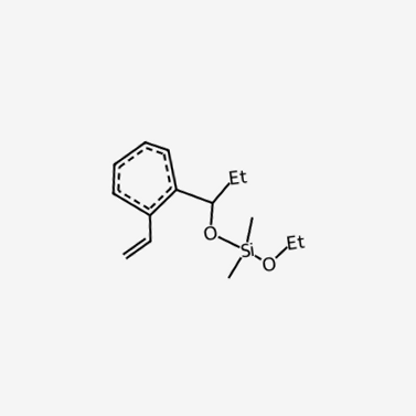 C=Cc1ccccc1C(CC)O[Si](C)(C)OCC